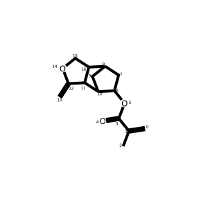 C=C(C)C(=O)OC1CC2CC1C1C(=C)OCC21